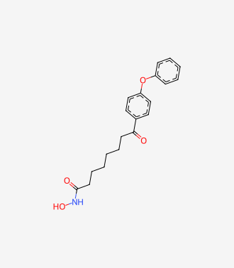 O=C(CCCCCCC(=O)c1ccc(Oc2ccccc2)cc1)NO